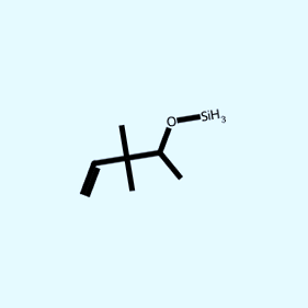 C=CC(C)(C)C(C)O[SiH3]